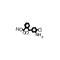 Nc1cc(C(=O)c2ccccc2C(=O)O)ccc1Cl